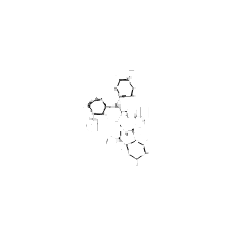 O=C1c2ccccc2C(=O)N1CC(O)C(c1ccc(F)cc1)c1cccc(Cl)c1